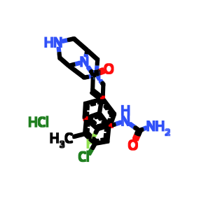 Cc1cc(C=CC(=O)N2C3CNCC2CN(Cc2ccc(F)cc2)C3)c(NC(N)=O)cc1Cl.Cl